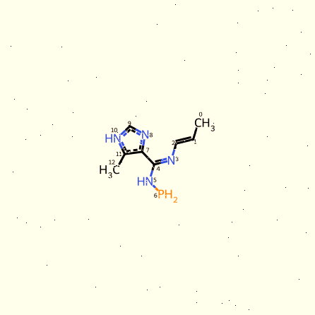 CC=C/N=C(/NP)c1nc[nH]c1C